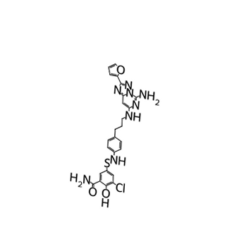 NC(=O)c1cc(SNc2ccc(CCCNc3cc4nc(-c5ccco5)nn4c(N)n3)cc2)cc(Cl)c1O